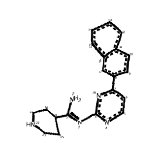 NC(=Nc1nccc(-c2ccc3ccccc3c2)n1)C1CCNCC1